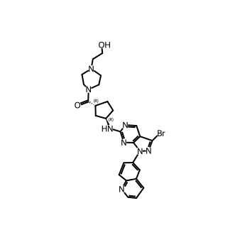 O=C([C@@H]1CC[C@@H](Nc2ncc3c(Br)nn(-c4ccc5ncccc5c4)c3n2)C1)N1CCN(CCO)CC1